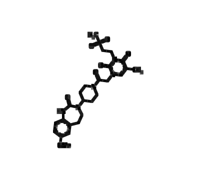 COc1ccc2c(c1)CCN(C1CCN(C(=O)Cn3cc(C)c(=O)n(CCS(C)(=O)=O)c3=O)CC1)C(=O)N2